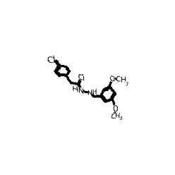 COc1cc(CNNC(Cl)Cc2ccc(Cl)cc2)cc(OC)c1